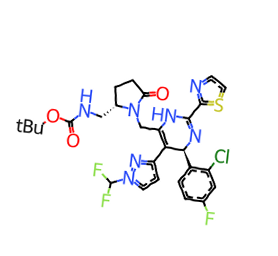 CC(C)(C)OC(=O)NC[C@@H]1CCC(=O)N1CC1=C(c2ccn(C(F)F)n2)[C@H](c2ccc(F)cc2Cl)N=C(c2nccs2)N1